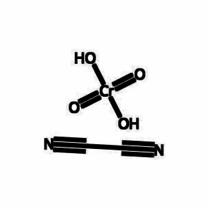 N#CC#N.[O]=[Cr](=[O])([OH])[OH]